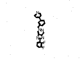 Fc1cccc(-c2nc3cnn(Cc4cccc(-c5ccncc5)c4)cc-3n2)c1F